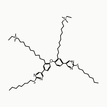 CCCCCCCCSc1ncc(-c2ccc(Oc3ccc(-c4cnc(SCCCCCCCC)nc4)cc3CCCCCCCCCCC[Si](C)(C)CC)c(CCCCCCCCCCC[Si](C)(C)CC)c2)cn1